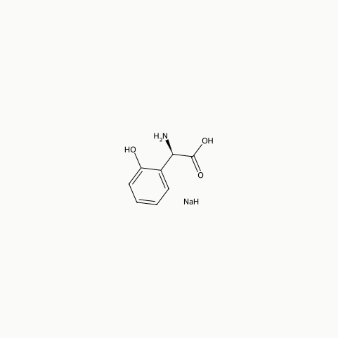 N[C@@H](C(=O)O)c1ccccc1O.[NaH]